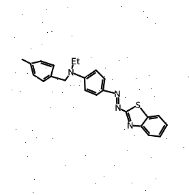 CCN(Cc1ccc(C)cc1)c1ccc(N=Nc2nc3ccccc3s2)cc1